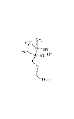 CCCCCCCCCCCCC(CC)(CCC)[N+](C)(C)CCC.[Cl-]